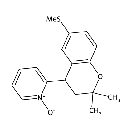 CSc1ccc2c(c1)C(c1cccc[n+]1[O-])CC(C)(C)O2